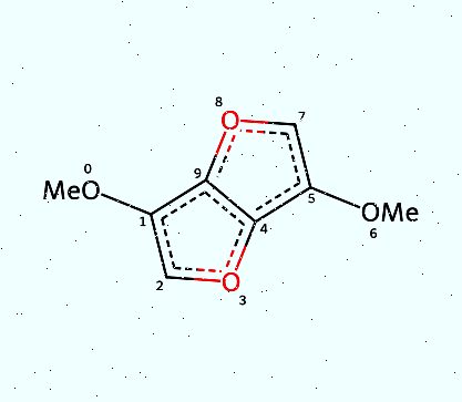 COc1coc2c(OC)coc12